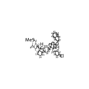 CSCCCN(CC1CC1)C(C)c1ccccc1N1CCN(C(=O)C(Cc2ccc(Cl)cc2)NC(=O)Oc2ccc3ncccc3c2)CC1